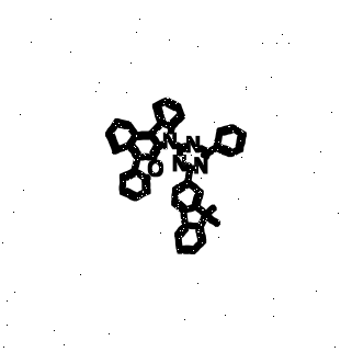 CC1(C)c2ccccc2-c2ccc(-c3nc(-c4ccccc4)nc(-n4c5ccccc5c5c6ccccc6c6c7ccccc7oc6c54)n3)cc21